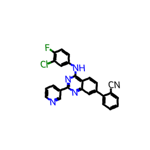 N#Cc1ccccc1-c1ccc2c(Nc3ccc(F)c(Cl)c3)nc(-c3cccnc3)nc2c1